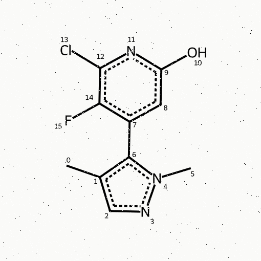 Cc1cnn(C)c1-c1cc(O)nc(Cl)c1F